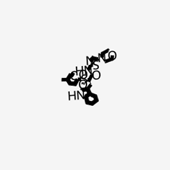 Cc1ccc(S(=O)(=O)[C@@H](Cc2c[nH]c3ccccc23)C(=O)Nc2ncc(N3CCOCC3)s2)cc1